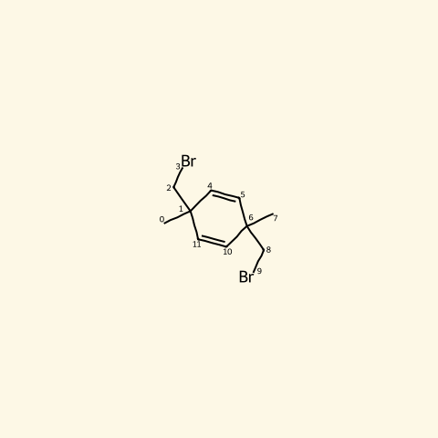 CC1(CBr)C=CC(C)(CBr)C=C1